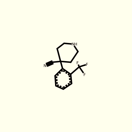 N#CC1(c2ccccc2C(F)(F)F)CCNCC1